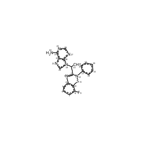 CC(C1=Nc2cccc(F)c2SN1c1ccccc1)n1cnc2c(N)ncnc21